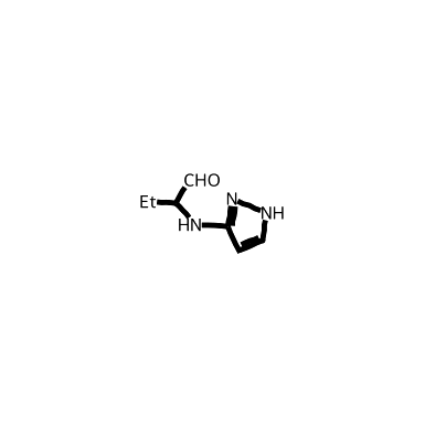 CCC(C=O)Nc1cc[nH]n1